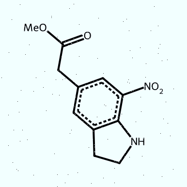 COC(=O)Cc1cc2c(c([N+](=O)[O-])c1)NCC2